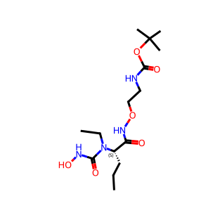 CCC[C@@H](C(=O)NOCCNC(=O)OC(C)(C)C)N(CC)C(=O)NO